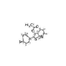 CC(=O)Oc1c(-c2ccc(F)cc2)sc2ncccc12